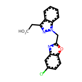 O=C(O)Cc1nn(Cc2nc3cc(Cl)ccc3o2)c2ccccc12